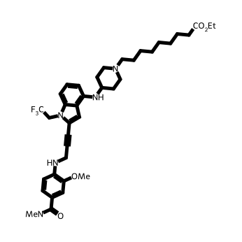 CCOC(=O)CCCCCCCCN1CCC(Nc2cccc3c2cc(C#CCNc2ccc(C(=O)NC)cc2OC)n3CC(F)(F)F)CC1